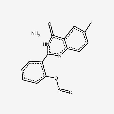 N.O=POc1ccccc1-c1nc2ccc(I)cc2c(=O)[nH]1